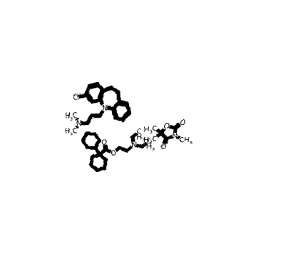 CCN(CC)CCOC(=O)C1(C2CCCCC2)CCCCC1.CN(C)CCCN1c2ccccc2CCc2ccc(Cl)cc21.CN1C(=O)OC(C)(C)C1=O